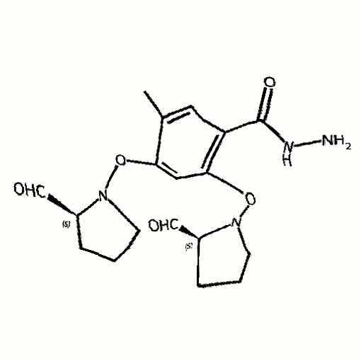 Cc1cc(C(=O)NN)c(ON2CCC[C@H]2C=O)cc1ON1CCC[C@H]1C=O